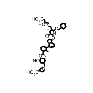 Cc1c(-c2nc3cc(CN4CC[C@H](C(=O)O)C4)cc(C#N)c3o2)cccc1-c1cccc2c1CC[C@@H]2Oc1nc(OCc2ccccc2)c(CNC[C@@H](O)CC(=O)O)cc1Cl